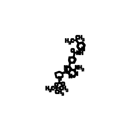 CC(C)c1ccnc(NC(=O)c2ccc(-c3nn(C4CCCN(C(=O)OC(C)(C)C)C4)c4ncnc(N)c34)cc2)c1